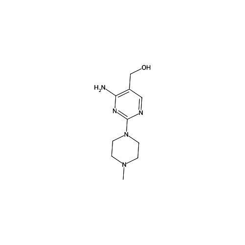 CN1CCN(c2ncc(CO)c(N)n2)CC1